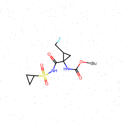 CC(C)(C)OC(=O)NC1(C(=O)NS(=O)(=O)C2CC2)CC1CF